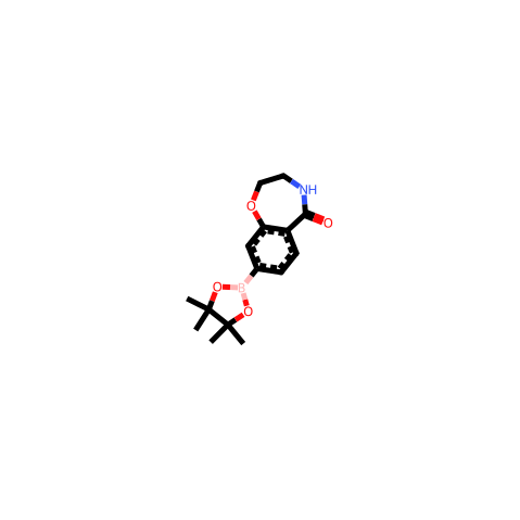 CC1(C)OB(c2ccc3c(c2)OCCNC3=O)OC1(C)C